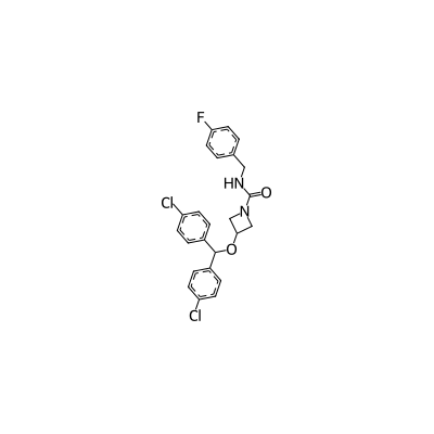 O=C(NCc1ccc(F)cc1)N1CC(OC(c2ccc(Cl)cc2)c2ccc(Cl)cc2)C1